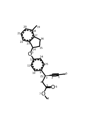 CC#C[C@@H](CC(=O)OC)c1ccc(OC2CCc3c(C)cccc32)cc1